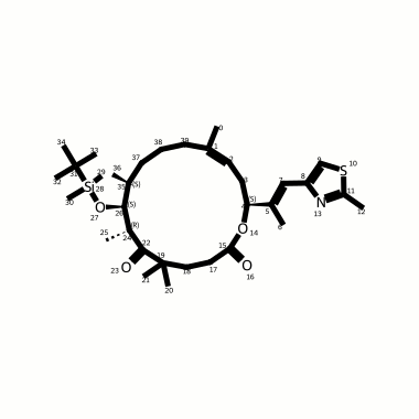 CC1=CC[C@@H](C(C)=Cc2csc(C)n2)OC(=O)CCC(C)(C)C(=O)[C@H](C)[C@@H](O[Si](C)(C)C(C)(C)C)[C@@H](C)CCC1